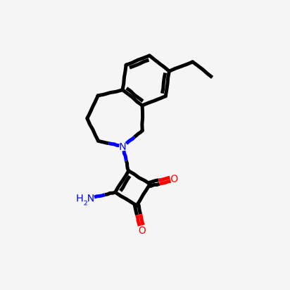 CCc1ccc2c(c1)CN(c1c(N)c(=O)c1=O)CCC2